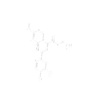 COc1ccc2c(NCCO)cc(-c3ccc(Cl)c(Cl)c3)nc2c1